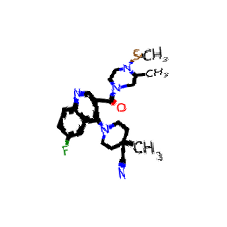 CSN1CCN(C(=O)c2cnc3ccc(F)cc3c2N2CCC(C)(C#N)CC2)CC1C